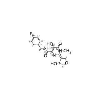 Cn1c(C2COCC2O)nc(C(=O)NCc2ccc(F)cc2)c(O)c1=O